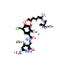 CCC(CCCC1COc2c(Cl)cc(C(=O)NCc3c(SC)cc(C)[nH]c3=O)c(C)c2O1)N1CC(OC)C1